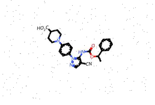 CC(OC(=O)Nc1c(C#N)cnn1-c1ccc(N2CCC(C(=O)O)CC2)cc1)c1ccccc1